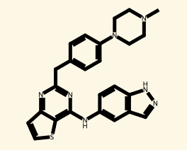 CN1CCN(c2ccc(Cc3nc(Nc4ccc5[nH]ncc5c4)c4sccc4n3)cc2)CC1